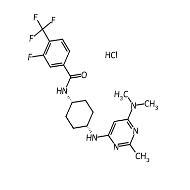 Cc1nc(N[C@H]2CC[C@@H](NC(=O)c3ccc(C(F)(F)F)c(F)c3)CC2)cc(N(C)C)n1.Cl